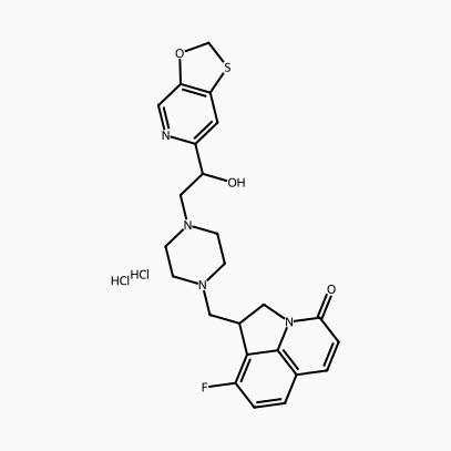 Cl.Cl.O=c1ccc2ccc(F)c3c2n1CC3CN1CCN(CC(O)c2cc3c(cn2)OCS3)CC1